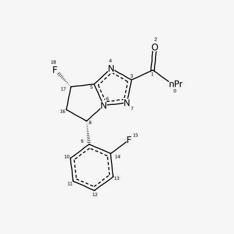 CCCC(=O)c1nc2n(n1)[C@H](c1ccccc1F)C[C@@H]2F